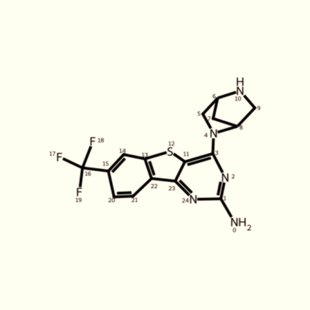 Nc1nc(N2CC3CC2CN3)c2sc3cc(C(F)(F)F)ccc3c2n1